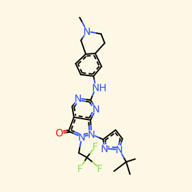 CN1CCc2cc(Nc3ncc4c(=O)n(CC(F)(F)F)n(-c5ccn(C(C)(C)C)n5)c4n3)ccc2C1